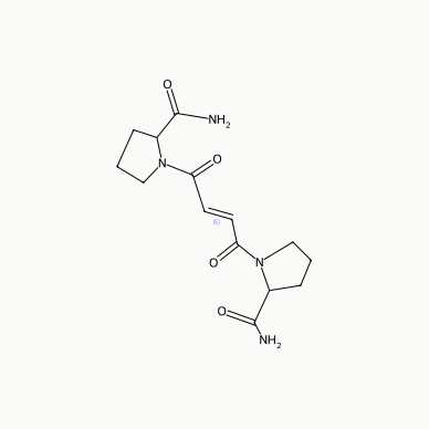 NC(=O)C1CCCN1C(=O)/C=C/C(=O)N1CCCC1C(N)=O